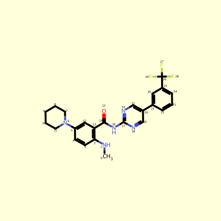 CNc1ccc(N2CCCCC2)cc1C(=O)Nc1ncc(-c2cccc(C(F)(F)F)c2)cn1